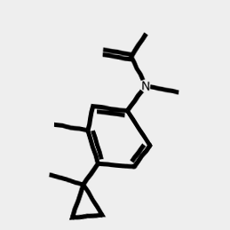 C=C(C)N(C)c1ccc(C2(C)CC2)c(C)c1